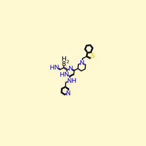 B/C(C=N)=C1\N=C(C2CCCN(Cc3csc4ccccc34)C2)C=C(NCc2cccnc2)N1